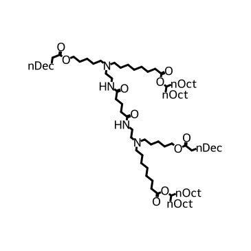 CCCCCCCCCCCC(=O)OCCCCCN(CCCCCCCC(=O)OC(CCCCCCCC)CCCCCCCC)CCNC(=O)CCCC(=O)NCCN(CCCCCCCC(=O)OC(CCCCCCCC)CCCCCCCC)CCCCCOC(=O)CCCCCCCCCCC